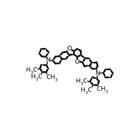 Cc1cc(N(c2ccccc2)c2ccc3cc4c(cc3c2)oc2c4ccc3oc4cc5cc(N(c6ccccc6)c6cc(C)c(C)c(C)c6)ccc5cc4c32)cc(C)c1C